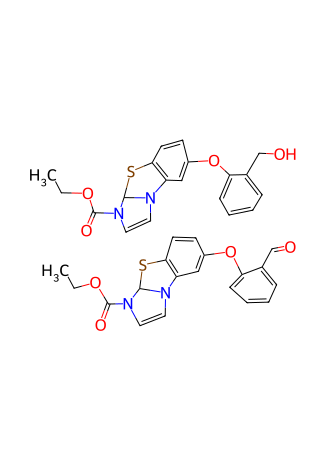 CCOC(=O)N1C=CN2c3cc(Oc4ccccc4C=O)ccc3SC12.CCOC(=O)N1C=CN2c3cc(Oc4ccccc4CO)ccc3SC12